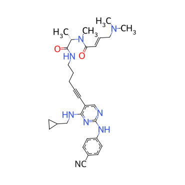 C[C@@H](C(=O)NCCCC#Cc1cnc(Nc2ccc(C#N)cc2)nc1NCC1CC1)N(C)C(=O)/C=C/CN(C)C